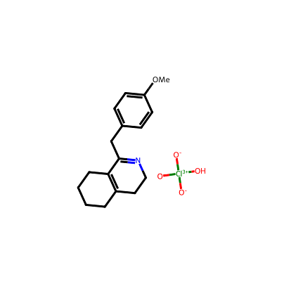 COc1ccc(CC2=NCCC3=C2CCCC3)cc1.[O-][Cl+3]([O-])([O-])O